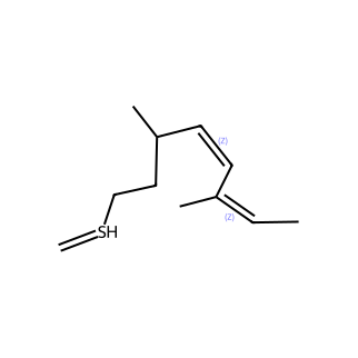 C=[SH]CCC(C)/C=C\C(C)=C/C